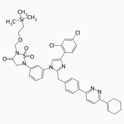 C[Si](C)(C)CCOCN1C(=O)CN(c2cccc(-n3cc(-c4ccc(Cl)cc4Cl)nc3Cc3ccc(-c4ccc(C5=CCCCC5)nn4)cc3)c2)S1(=O)=O